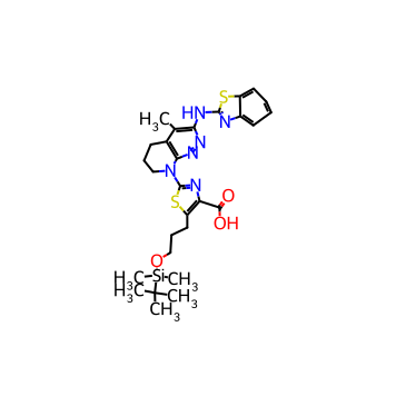 Cc1c(Nc2nc3ccccc3s2)nnc2c1CCCN2c1nc(C(=O)O)c(CCCO[Si](C)(C)C(C)(C)C)s1